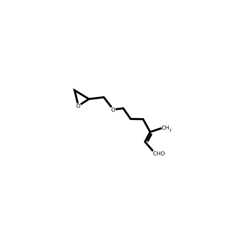 CC(=C[C]=O)CCCOCC1CO1